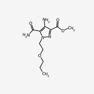 CCCOCCn1nc(C(=O)OC)c(N)c1C(N)=O